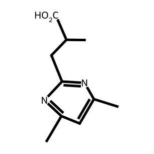 Cc1cc(C)nc(CC(C)C(=O)O)n1